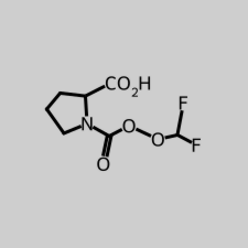 O=C(O)C1CCCN1C(=O)OOC(F)F